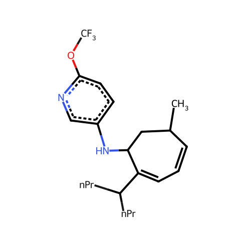 CCCC(CCC)C1=CC=CC(C)CC1Nc1ccc(OC(F)(F)F)nc1